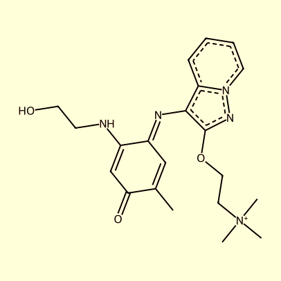 CC1=C/C(=N\c2c(OCC[N+](C)(C)C)nn3ccccc23)C(NCCO)=CC1=O